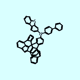 c1ccc(-c2ccc(N(c3ccc4c(c3)C3(c5ccccc5-4)c4ccccc4-c4cccc5ccc(-c6cccc7ccccc67)c3c45)c3ccc4c(c3)sc3ccccc34)cc2)cc1